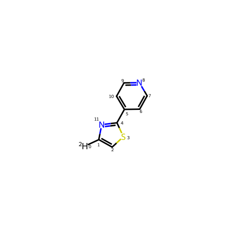 [2H]c1csc(-c2ccncc2)n1